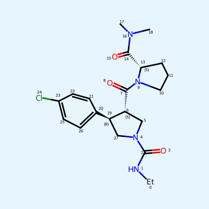 CCNC(=O)N1C[C@@H](C(=O)N2CCC[C@H]2C(=O)N(C)C)[C@H](c2ccc(Cl)cc2)C1